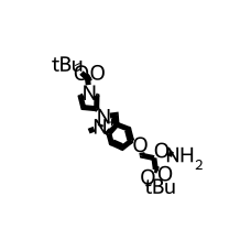 C[n+]1c2ccc(OCC(ON)C(=O)OC(C)(C)C)cc2cn1C1CCN(C(=O)OC(C)(C)C)C1